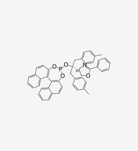 Cc1ccc(CC(Cc2ccc(C)cc2)(Op2oc3ccc4ccccc4c3c3c(ccc4ccccc43)o2)[C@H]2COC(c3ccccc3)=N2)cc1